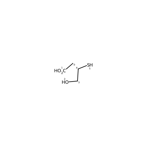 CC(=O)O.OCCS